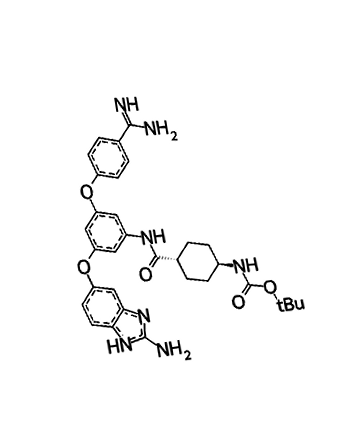 CC(C)(C)OC(=O)N[C@H]1CC[C@H](C(=O)Nc2cc(Oc3ccc(C(=N)N)cc3)cc(Oc3ccc4[nH]c(N)nc4c3)c2)CC1